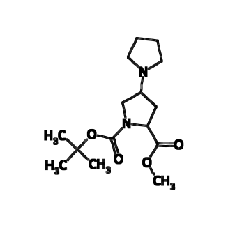 COC(=O)C1CC(N2CCCC2)CN1C(=O)OC(C)(C)C